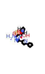 C[C@@H](O)C(=O)N1[C@@H]2CC[C@H]1C[C@@H](c1nc3c(-c4ccc(-c5ccccc5)nc4)cnn3c(N)c1S(C)(=O)=O)C2